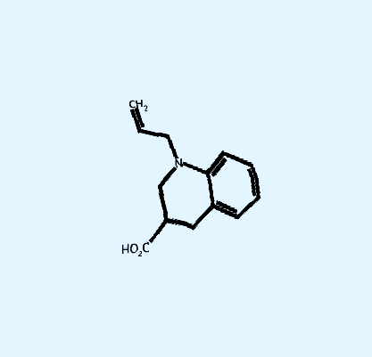 C=CCN1CC(C(=O)O)Cc2ccccc21